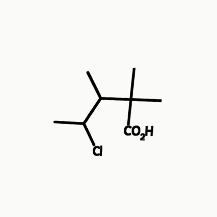 CC(Cl)C(C)C(C)(C)C(=O)O